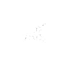 N#Cc1ccc(Cn2c(N3CC[C@@H](F)[C@H](N)C3)nc3cc(C(F)(F)F)cnc32)nc1